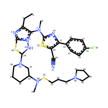 CCc1nc2n(c1N(C)c1nc(-c3ccc(F)cc3)c(C#N)s1)NC(N1CCCC(N(C)SCCCN3CCCC3)C1)S2